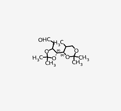 CC1COC(C)(C)O[C@H]1[C@@H]1OC(C)(C)OC1CC=O